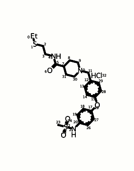 CCSCCNC(=O)C1CCN(Cc2ccc(Oc3ccc(NS(C)(=O)=O)cc3)cc2)CC1.Cl